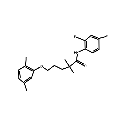 Cc1ccc(C)c(OCCCC(C)(C)C(=O)Nc2ccc(F)cc2F)c1